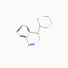 NC1=NCC(C2CCCNC2)c2ccccc21